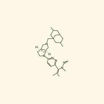 C=NN(C)C(=C(C)C)c1ccc(N2CC[C@H]3CN(CC45CC(C)CC(CC(C)C4)C5)C[C@H]32)nn1